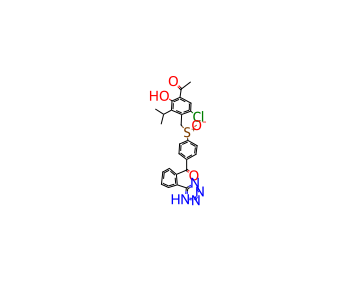 CC(=O)c1cc(Cl)c(C[S+]([O-])c2ccc(C(=O)c3ccccc3-c3nnn[nH]3)cc2)c(C(C)C)c1O